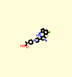 CC(C(=O)O)[C@H]1CC[C@@H](N2CC=C(C3=C4NN=C5C=Cc6cc(F)c(F)c(c65)C4=CN(C)C3)CC2)CC1